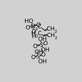 C=CC.C=CC.O=S(=O)(O)O.O=S(=O)(O)O.O=S(=O)(O)O